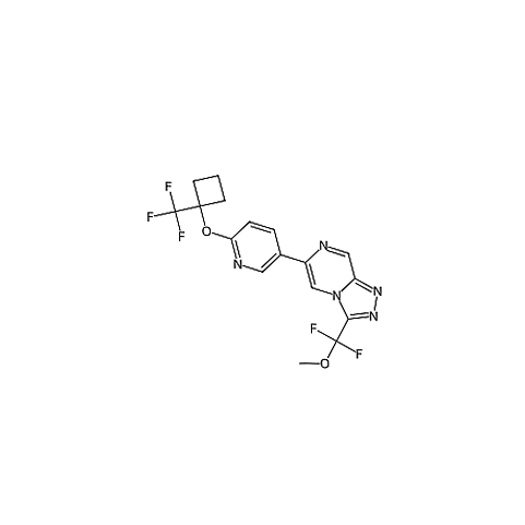 COC(F)(F)c1nnc2cnc(-c3ccc(OC4(C(F)(F)F)CCC4)nc3)cn12